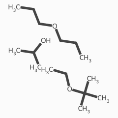 CC(C)O.CCCOCCC.CCOC(C)(C)C